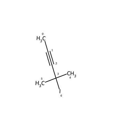 CC#CC(C)(C)I